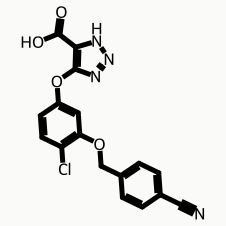 N#Cc1ccc(COc2cc(Oc3nn[nH]c3C(=O)O)ccc2Cl)cc1